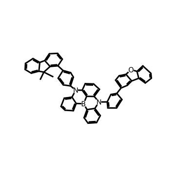 CC1(C)c2ccccc2-c2cccc(-c3ccc(N4c5ccccc5B5c6ccccc6N(c6cccc(-c7ccc8oc9ccccc9c8c7)c6)c6cccc4c65)cc3)c21